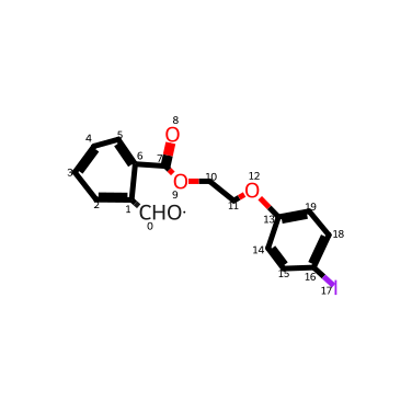 O=[C]c1ccccc1C(=O)OCCOc1ccc(I)cc1